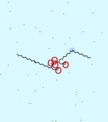 CCCCCCCCC=CCCCCCCC(CC1CO1)C(=O)OC(=O)C(CCCCCC/C=C\CCCCCCCC)CC1CO1